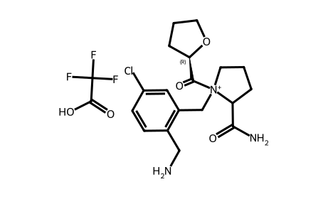 NCc1ccc(Cl)cc1C[N+]1(C(=O)[C@H]2CCCO2)CCCC1C(N)=O.O=C(O)C(F)(F)F